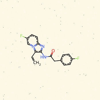 C=Cc1c(NC(=O)Cc2ccc(F)cc2)nc2ccc(F)cn12